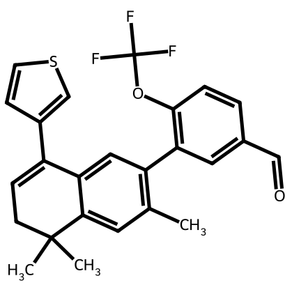 Cc1cc2c(cc1-c1cc(C=O)ccc1OC(F)(F)F)C(c1ccsc1)=CCC2(C)C